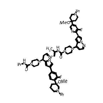 COC1(c2cnc(-c3cc4c(N5CCN(C(=O)NC(C)C[n+]6ccc(N7CCN(C(=O)NC(C)C)CC7)c7cc(-c8ccc([C@]9(OC)CCCN(C(C)C)C9)c(F)c8)cn76)CC5)ccnn4c3)c(F)c2)CCN(C(C)C)CC1